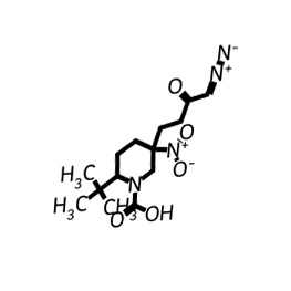 CC(C)(C)C1CCC(CCC(=O)C=[N+]=[N-])([N+](=O)[O-])CN1C(=O)O